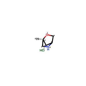 C1O[C@@H]2CNC1C2.Cl